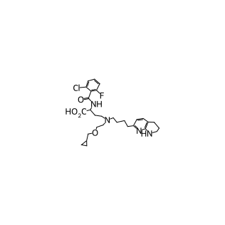 O=C(NC(CCN(CCCCc1ccc2c(n1)NCCC2)CCOCC1CC1)C(=O)O)c1c(F)cccc1Cl